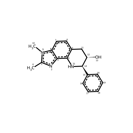 Cc1nc2c3c(ccc2n1C)C[C@H](O)[C@@H](c1ccccc1)N3